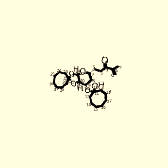 C=C(C)C(=O)CC[C@@H]1C[C@H](OC2(O)CCCCCCC2)[C@H]2OC3(CCCCCCC3)O[C@H]2O1